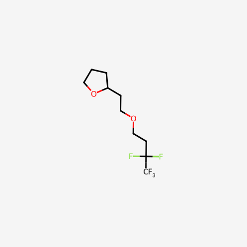 FC(F)(F)C(F)(F)CCOCCC1CCCO1